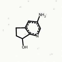 Nc1cnc2c(c1)CCC2O